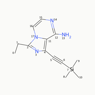 CCc1nc(C#C[Si](C)(C)C)c2c(N)nccn12